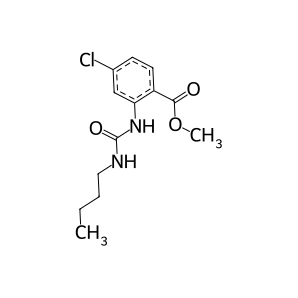 CCCCNC(=O)Nc1cc(Cl)ccc1C(=O)OC